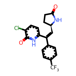 O=C1CC[C@H](/C=C(/c2ccc(C(F)(F)F)cc2)c2ccc(Cl)c(=O)[nH]2)N1